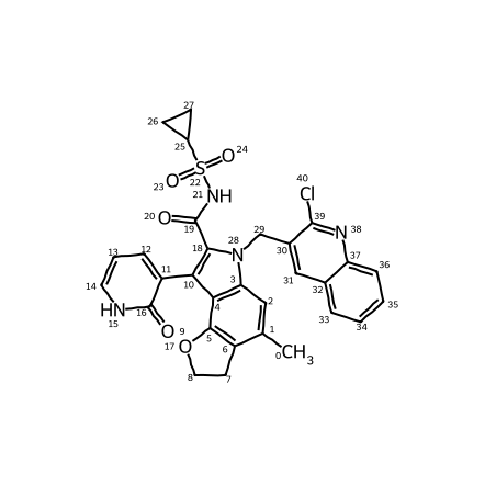 Cc1cc2c(c3c1CCO3)c(-c1ccc[nH]c1=O)c(C(=O)NS(=O)(=O)C1CC1)n2Cc1cc2ccccc2nc1Cl